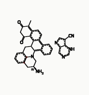 CC1=c2ccc3c(c2C(=O)CC1=O)C(Cc1ccccc1)C(N1CCC[C@H](N)C1)=c1ccccc1=3.N#Cc1cnc2cnc[nH]c1-2